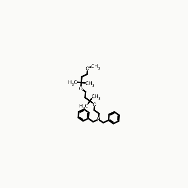 COCCC(C)(C)OCCC(C)(C)OCCN(Cc1ccccc1)Cc1ccccc1